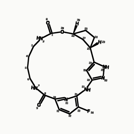 O=C1NCCCCNC(=O)c2ccc(F)c(n2)Nc2cc([nH]n2)[C@H]2CC[C@H](C2)O1